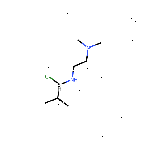 CC(C)[SiH](Cl)NCCN(C)C